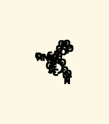 CC[C@H]1CCC[C@H](O[C@H]2CC[C@H](N(C)C)C(C)O2)[C@@H](C)C(=O)C2=C[C@@H]3C(c4nc(NCc5ccccc5)sc4C4C[C@@H](O[C@@H]5OC(C)[C@H](OC)C(OC)C5OC)C[C@H]43)[C@@H]2CC(=O)O1